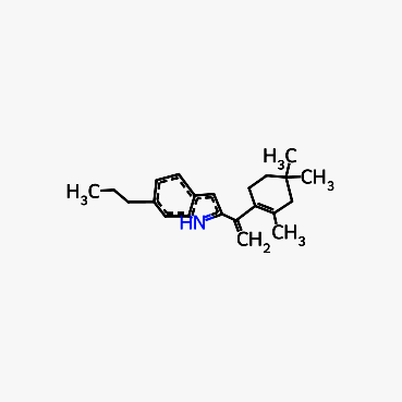 C=C(C1=C(C)CC(C)(C)CC1)c1cc2ccc(CCC)cc2[nH]1